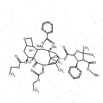 CC(=O)O[C@@]12COC1C[C@H](OC(=O)OCC(Cl)(Cl)Cl)[C@@]1(C)C(=O)[C@H](OC(=O)OCC(Cl)(Cl)Cl)C3=C(C)[C@@H](OC(=O)C4OC(C)(C)N(C(=O)OC(C)(C)C)[C@H]4c4ccccc4)C[C@@](O)([C@@H](OC(=O)c4ccccc4)[C@@H]12)C3(C)C